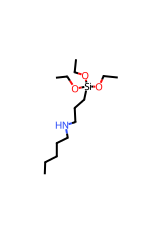 CCCCCNCCC[Si](OCC)(OCC)OCC